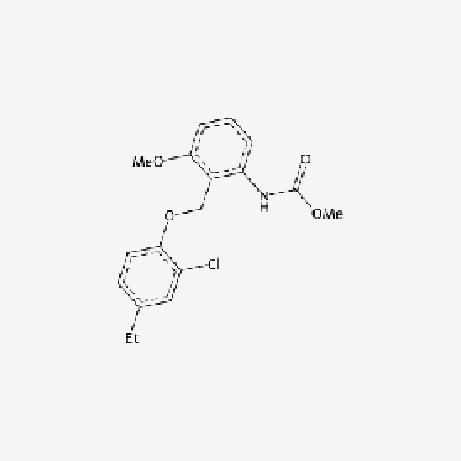 CCc1ccc(OCc2c(NC(=O)OC)cccc2OC)c(Cl)c1